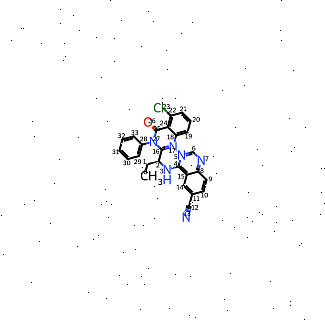 CC[C@H](Nc1ncnc2ccc(C#N)cc12)c1nc2cccc(Cl)c2c(=O)n1-c1ccccc1